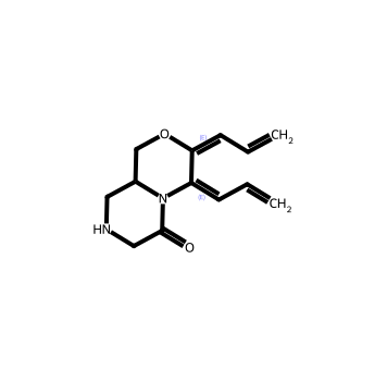 C=C/C=C1/OCC2CNCC(=O)N2/C1=C/C=C